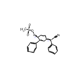 CS(=O)(=O)O/N=C1C=C/C(=C(\C#N)c2ccccc2)C=C\1c1ccccc1